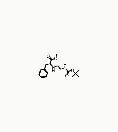 COC(=O)[C@H](Cc1ccccc1)NCCNC(=O)OC(C)(C)C